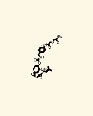 CO[C@H]1[C@H](C2(C)O[C@@H]2CC=C(C)C)[C@]2(CC[C@H]1OC(=O)NCc1ccc(NC(=O)COCC(=O)C(C)(C)C)cc1)CO2